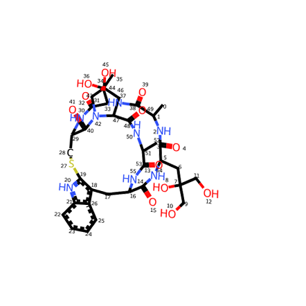 CC1NC(=O)C(CC(O)(CO)CO)NC(=O)C2Cc3c([nH]c4ccccc34)SCC(NC(=O)C(C(C)O)NC1=O)C(=O)N1CC(O)CC1C(=O)NC(C)C(=O)N2